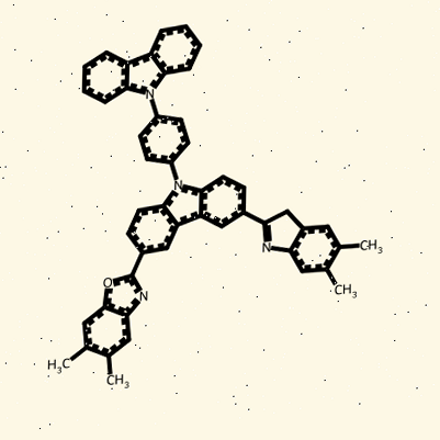 Cc1cc2c(cc1C)N=C(c1ccc3c(c1)c1cc(-c4nc5cc(C)c(C)cc5o4)ccc1n3-c1ccc(-n3c4ccccc4c4ccccc43)cc1)C2